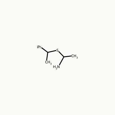 CC(N)SC(C)C(C)C